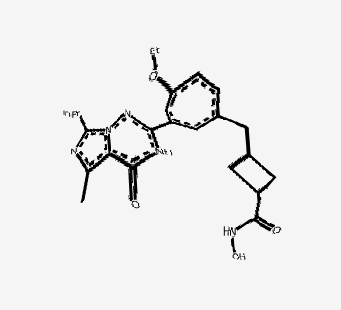 CCCc1nc(C)c2c(=O)[nH]c(-c3cc(CC4CC(C(=O)NO)C4)ccc3OCC)nn12